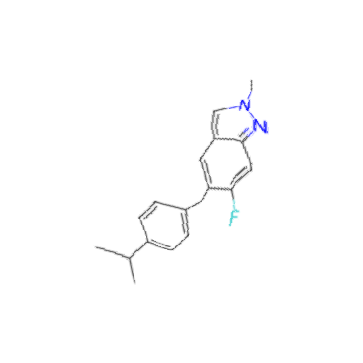 CC(C)c1ccc(-c2cc3cn(C)nc3cc2F)cc1